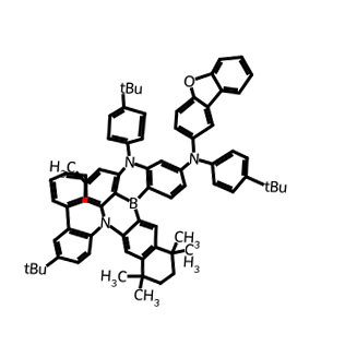 Cc1cc2c3c(c1)N(c1ccc(C(C)(C)C)cc1-c1ccccc1)c1cc4c(cc1B3c1ccc(N(c3ccc(C(C)(C)C)cc3)c3ccc5oc6ccccc6c5c3)cc1N2c1ccc(C(C)(C)C)cc1)C(C)(C)CCC4(C)C